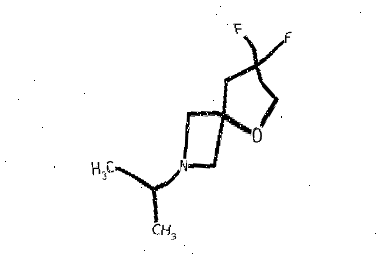 CC(C)N1CC2(C1)CC(F)(F)CO2